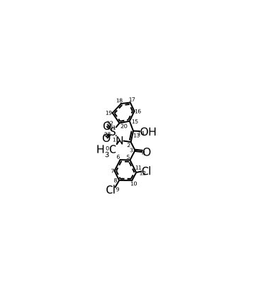 CN1C(C(=O)c2ccc(Cl)cc2Cl)=C(O)c2ccccc2S1(=O)=O